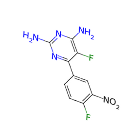 Nc1nc(N)c(F)c(-c2ccc(F)c([N+](=O)[O-])c2)n1